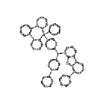 c1ccc(-c2ccc(N(c3ccc(C4(c5ccccc5)c5ccccc5-c5ccccc5-c5ccccc54)cc3)c3cccc4c3oc3c(-c5ccccc5)cccc34)cc2)cc1